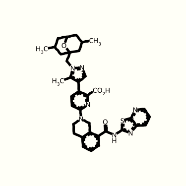 Cc1c(-c2ccc(N3CCc4cccc(C(=O)Nc5nc6cccnc6s5)c4C3)nc2C(=O)O)cnn1CC12CC(C)CC(CC(C)C1)O2